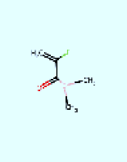 C=C(F)C(=O)B(C)C